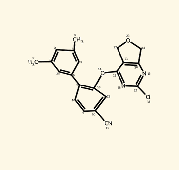 Cc1cc(C)cc(-c2ccc(C#N)cc2Oc2nc(Cl)nc3c2COC3)c1